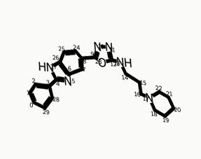 c1ccc(-c2nc3cc(-c4nnc(NCCCN5CCCCC5)o4)ccc3[nH]2)cc1